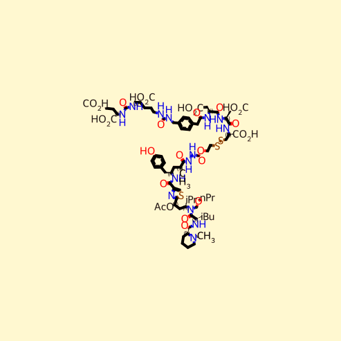 CCCOCN(C(=O)[C@@H](NC(=O)[C@H]1CCCCN1C)C(C)CC)[C@H](C[C@@H](OC(C)=O)c1nc(C(=O)N[C@@H](Cc2ccc(O)cc2)C[C@H](C)C(=O)NNC(=O)OCCSSC[C@H](NC(=O)[C@H](CC(=O)O)NC(=O)[C@H](CC(=O)O)NC(=O)Cc2ccc(CNC(=O)NCCCC[C@H](NC(=O)N[C@@H](CCC(=O)O)C(=O)O)C(=O)O)cc2)C(=O)O)cs1)C(C)C